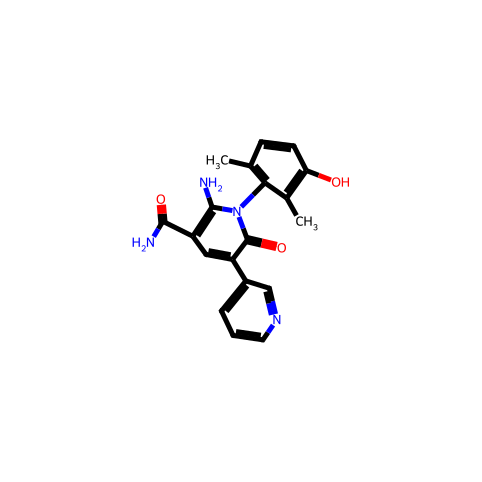 Cc1ccc(O)c(C)c1-n1c(N)c(C(N)=O)cc(-c2cccnc2)c1=O